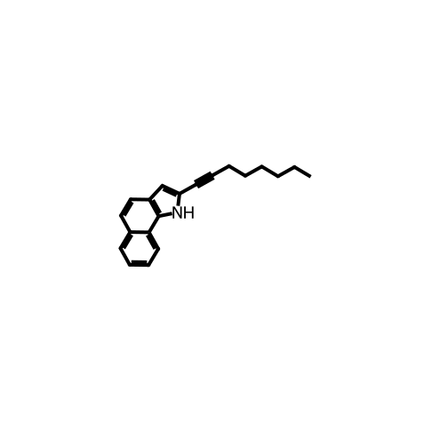 CCCCCCC#Cc1cc2ccc3ccccc3c2[nH]1